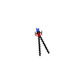 CCCCCC=CCC=CCCCCCCCCC1(CCCCCCCCC=CCC=CCCCCC)O[C@H]2CC(N(C)C)C[C@H]2O1